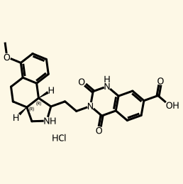 COc1cccc2c1CC[C@H]1CNC(CCn3c(=O)[nH]c4cc(C(=O)O)ccc4c3=O)[C@@H]21.Cl